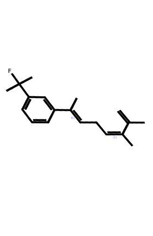 C=C(C)/C(C)=C\C/C=C(\C)c1cccc(C(C)(C)F)c1